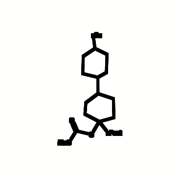 CCCCCC1(OC(=O)OC)CCC(C2CCC(CCCC)CC2)CC1